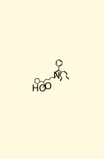 C=C/C=C\c1c(-c2ccccc2)cn(CCCCC(C(=O)O)C2CCCC2)c1C=C